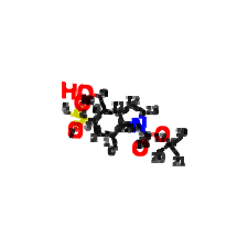 Cc1cc(S(C)(=O)=O)c(CO)c2ccn(C(=O)OC(C)(C)C)c12